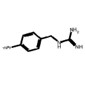 CC[CH]c1ccc(CNC(=N)N)cc1